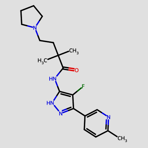 Cc1ccc(-c2n[nH]c(NC(=O)C(C)(C)CCN3CCCC3)c2F)cn1